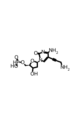 NCC#Cc1cn([C@H]2CC(O)[C@@H](CO[PH](=O)O)O2)c(=O)nc1N